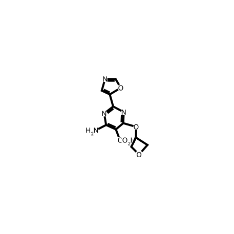 Nc1nc(-c2cnco2)nc(OC2COC2)c1C(=O)O